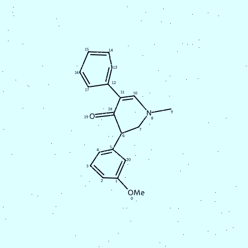 COc1cccc(C2CN(C)C=C(c3ccccc3)C2=O)c1